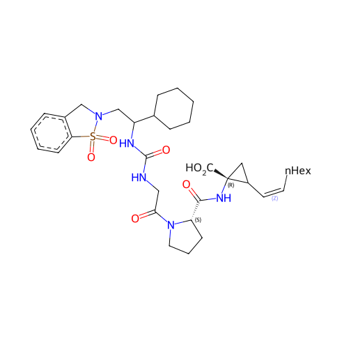 CCCCCC/C=C\C1C[C@]1(NC(=O)[C@@H]1CCCN1C(=O)CNC(=O)NC(CN1Cc2ccccc2S1(=O)=O)C1CCCCC1)C(=O)O